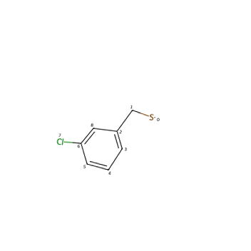 [S]Cc1cccc(Cl)c1